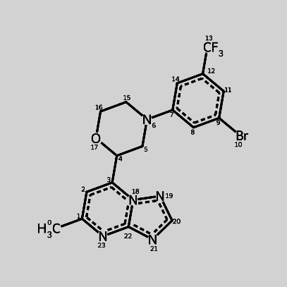 Cc1cc(C2CN(c3cc(Br)cc(C(F)(F)F)c3)CCO2)n2ncnc2n1